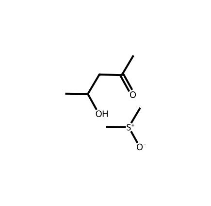 CC(=O)CC(C)O.C[S+](C)[O-]